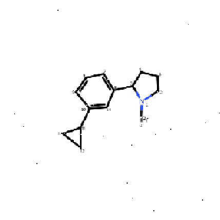 CC(C)N1CCCC1c1cccc(C2CC2)c1